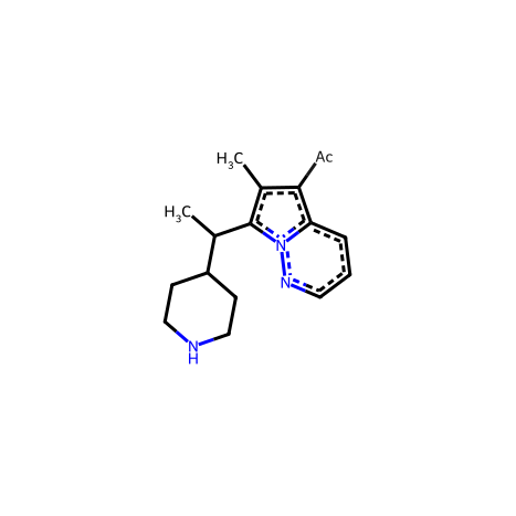 CC(=O)c1c(C)c(C(C)C2CCNCC2)n2ncccc12